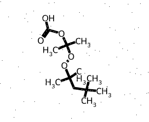 CC(C)(C)CC(C)(C)OOC(C)(C)OC(=O)O